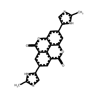 Cc1ncc(-c2cc3oc(=O)c4cc(-c5cnc(C)[nH]5)cc5c(=O)oc(c2)c3c45)[nH]1